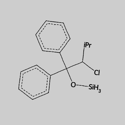 CC(C)C(Cl)C(O[SiH3])(c1ccccc1)c1ccccc1